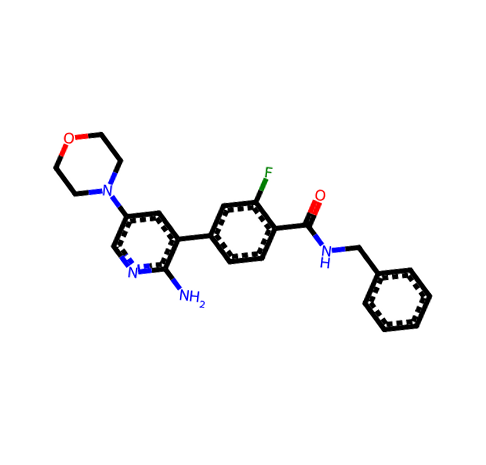 Nc1ncc(N2CCOCC2)cc1-c1ccc(C(=O)NCc2ccccc2)c(F)c1